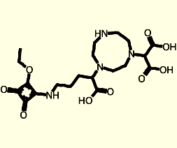 CCOc1c(NCCCC(C(=O)O)N2CCNCCN(C(C(=O)O)C(=O)O)CC2)c(=O)c1=O